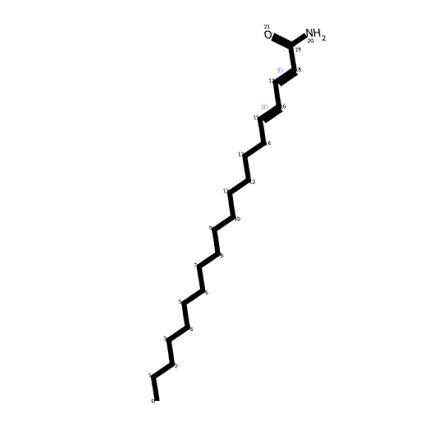 CCCCCCCCCCCCCCC/C=C/C=C/C(N)=O